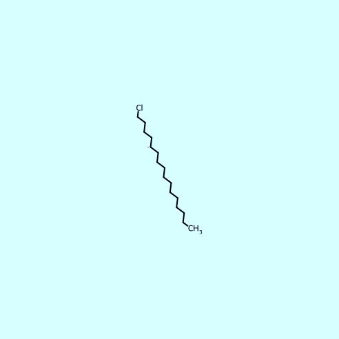 CCCCCCCCCCC[CH]CCCCCl